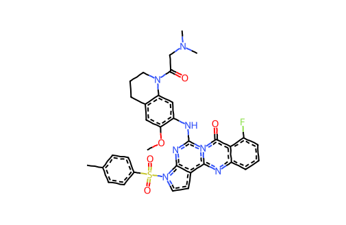 COc1cc2c(cc1Nc1nc3c(ccn3S(=O)(=O)c3ccc(C)cc3)c3nc4cccc(F)c4c(=O)n13)N(C(=O)CN(C)C)CCC2